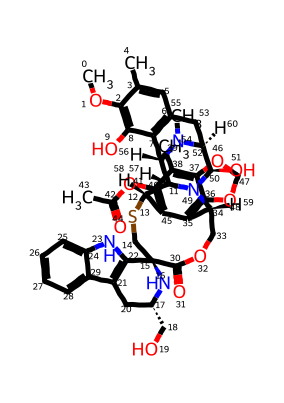 COc1c(C)cc2c(c1O)[C@H]1[C@H]3[C@H]4SC[C@]5(N[C@H](CO)Cc6c5[nH]c5ccccc65)C(=O)OC[C@H](c5c6c(c(C)c(OC(C)=O)c54)OCO6)N3[C@H](O)[C@H](C2)N1C